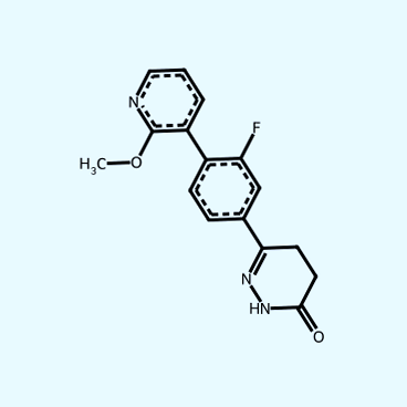 COc1ncccc1-c1ccc(C2=NNC(=O)CC2)cc1F